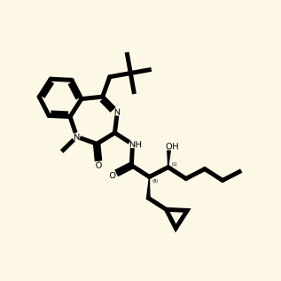 CCCC[C@H](O)[C@@H](CC1CC1)C(=O)NC1N=C(CC(C)(C)C)c2ccccc2N(C)C1=O